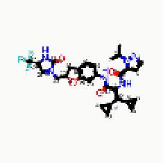 CC(C)n1nccc1C(=O)N[C@H](C(=O)Nc1ccc2c(c1)OC(CN1C[C@@H](C(F)(F)F)NC1=O)C2)C(C1CC1)C1CC1